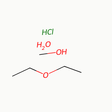 CCOCC.CO.Cl.O